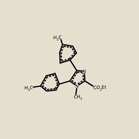 CCOC(=O)c1nc(-c2ccc(C)cc2)c(-c2ccc(C)cc2)n1C